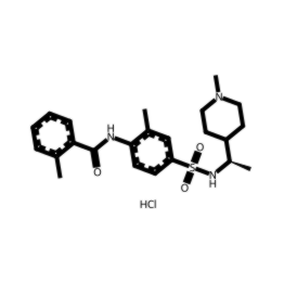 Cc1cc(S(=O)(=O)N[C@H](C)C2CCN(C)CC2)ccc1NC(=O)c1ccccc1C.Cl